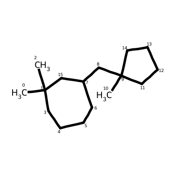 CC1(C)CCCCC(CC2(C)CCCC2)C1